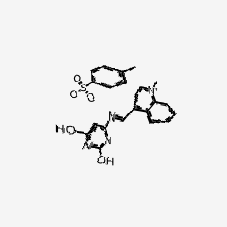 C[n+]1ccc(C=Nc2cc(O)nc(O)n2)c2ccccc21.Cc1ccc(S(=O)(=O)[O-])cc1